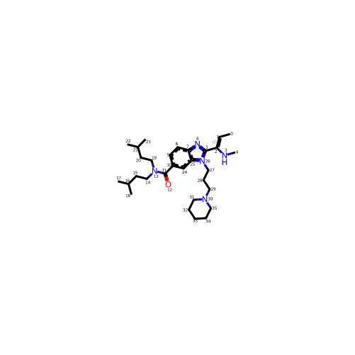 C/C=C(\NC)c1nc2ccc(C(=O)N(CCC(C)C)CCC(C)C)cc2n1CCCN1CCCCC1